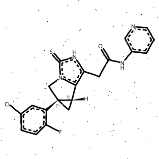 O=C(Cc1[nH]c(=S)n2c1[C@@H]1C[C@]1(c1cc(Cl)ccc1F)C2)Nc1cccnc1